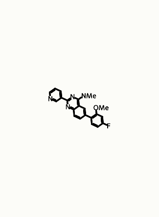 CNc1nc(-c2cccnc2)nc2ccc(-c3ccc(F)cc3OC)cc12